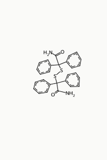 NC(=O)C(SSC(C(N)=O)(c1ccccc1)c1ccccc1)(c1ccccc1)c1ccccc1